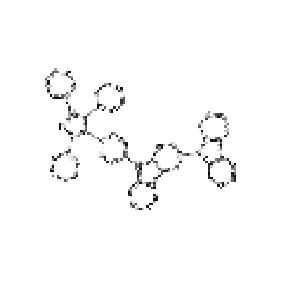 c1ccc(-c2nn(-c3ccccc3)c(-c3ccccc3)c2-c2ccc(-n3c4ccccc4c4cc(-n5c6ccccc6c6ccccc65)ccc43)cc2)cc1